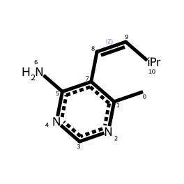 Cc1ncnc(N)c1/C=C\C(C)C